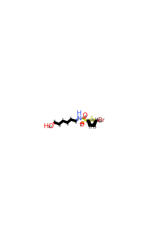 O=S(=O)(NCCCCCCO)c1ccc(Br)s1